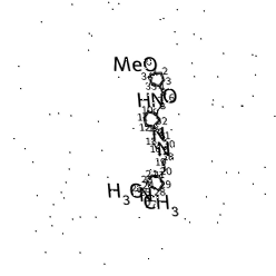 COc1ccc(C(=O)NCc2cccc(N3CCN(CC=Cc4ccc(N(C)C)cc4)CC3)c2)cc1